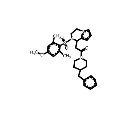 COc1cc(C)c(S(=O)(=O)N2CCn3cccc3C2CC(=O)N2CCC(Cc3ccccc3)CC2)c(C)c1